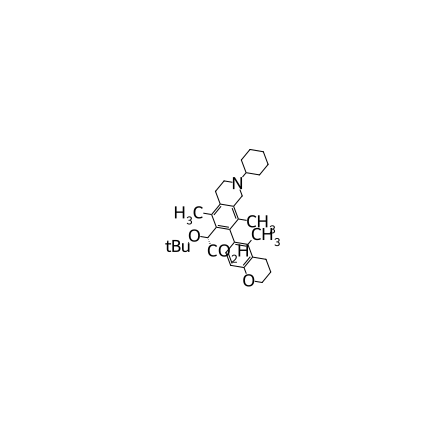 Cc1c(-c2c(C)c3c(c(C)c2[C@@H](OC(C)(C)C)C(=O)O)CCN(C2CCCCC2)C3)ccc2c1CCCO2